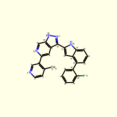 Cc1ccncc1-c1cc2c(-c3cc4c(-c5ccccc5F)cccc4[nH]3)n[nH]c2cn1